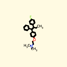 CC/C(=C(/c1ccccc1)c1ccc(OCCN(C)C)cc1)c1ccc(F)cc1